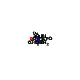 Bc1c(B)c(N(c2ccc3c(c2)C(C)(C)c2ccccc2-3)c2ccccc2-c2cccc3oc4c5ccccc5ccc4c23)c(B)c(B)c1-c1ccc(-c2ccccc2)cc1